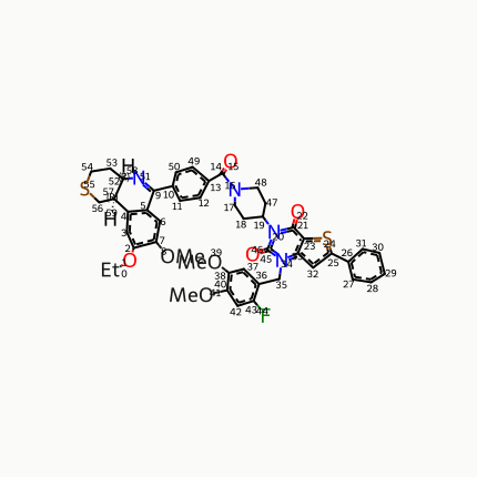 CCOc1cc2c(cc1OC)C(c1ccc(C(=O)N3CCC(n4c(=O)c5sc(-c6ccccc6)cc5n(Cc5cc(OC)c(OC)cc5F)c4=O)CC3)cc1)=N[C@@H]1CCSC[C@H]21